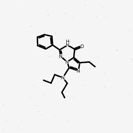 CCCN(CCC)c1nc(CC)c2c(=O)[nH]c(-c3ccccc3)nn12